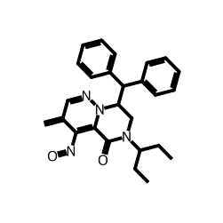 C=C1C=NN2C(=C1N=O)C(=O)N(C(CC)CC)CC2C(c1ccccc1)c1ccccc1